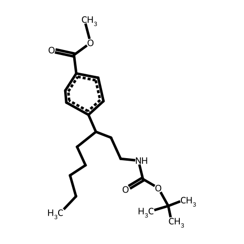 CCCCCC(CCNC(=O)OC(C)(C)C)c1ccc(C(=O)OC)cc1